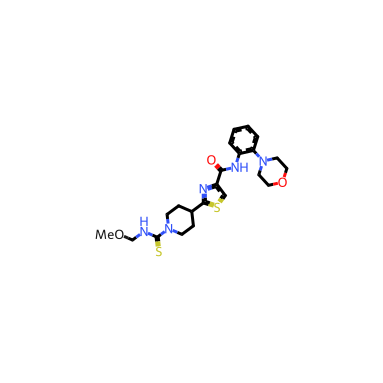 COCNC(=S)N1CCC(c2nc(C(=O)Nc3ccccc3N3CCOCC3)cs2)CC1